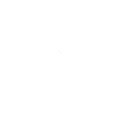 CCCN(C(=O)Cl)C1CC1